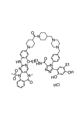 CCNC(=O)c1nnc(-c2cc(CC)c(O)cc2O)n1-c1ccc(CN2CCN(CC3CCN(C(=O)C4CCN(c5ccc(Nc6ncc7c(n6)N(S(C)(=O)=O)c6ccccc6C(=O)N7C)c(OCC)c5)CC4)CC3)CC2)cc1.Cl